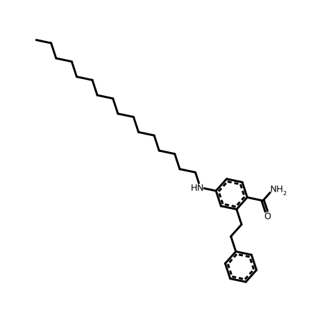 CCCCCCCCCCCCCCCCNc1ccc(C(N)=O)c(CCc2ccccc2)c1